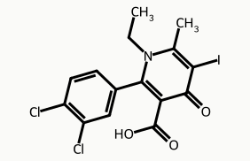 CCn1c(C)c(I)c(=O)c(C(=O)O)c1-c1ccc(Cl)c(Cl)c1